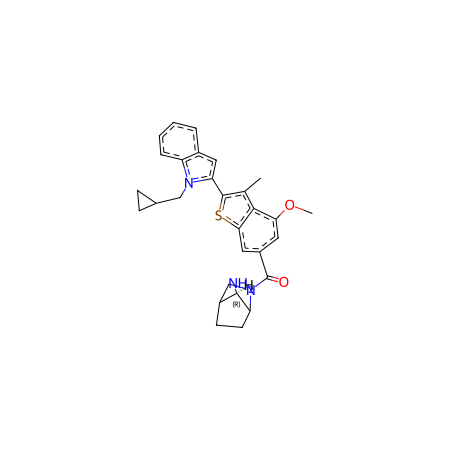 COc1cc(C(=O)N2CC3CCC2[C@@H]3N)cc2sc(-c3cc4ccccc4n3CC3CC3)c(C)c12